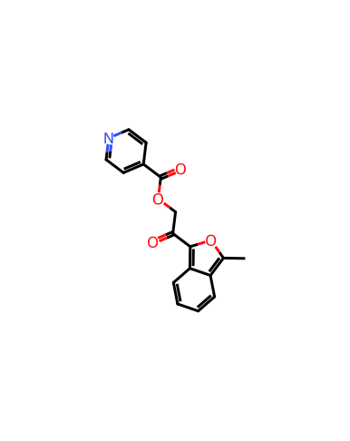 Cc1oc(C(=O)COC(=O)c2ccncc2)c2ccccc12